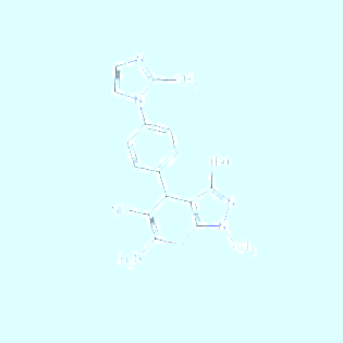 Cc1nccn1-c1ccc(C2C(C#N)=C(N)Oc3c2c(C(C)(C)C)nn3C)cc1